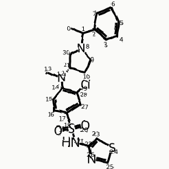 CC(c1ccccc1)N1CC[C@H](N(C)c2ccc(S(=O)(=O)Nc3cscn3)cc2Cl)C1